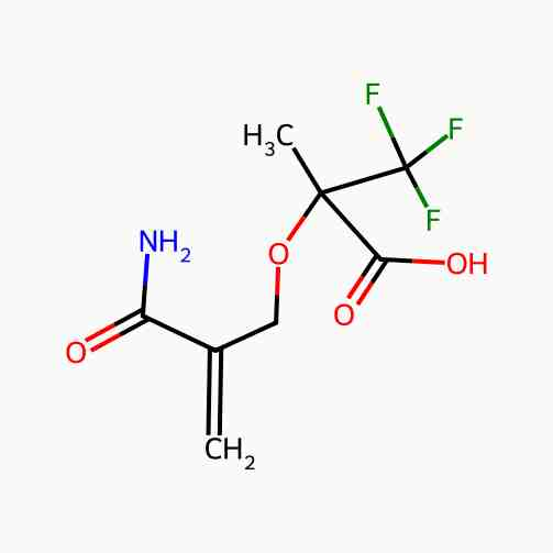 C=C(COC(C)(C(=O)O)C(F)(F)F)C(N)=O